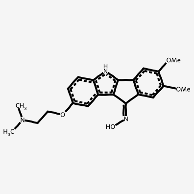 COc1cc2c(cc1OC)-c1[nH]c3ccc(OCCN(C)C)cc3c1C2=NO